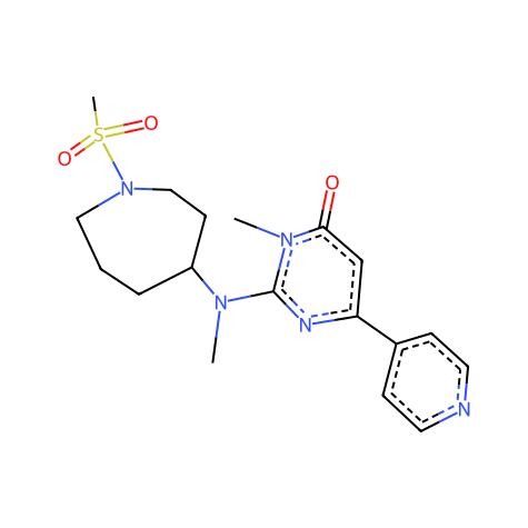 CN(c1nc(-c2ccncc2)cc(=O)n1C)C1CCCN(S(C)(=O)=O)CC1